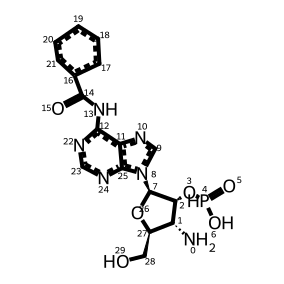 N[C@H]1[C@@H](O[PH](=O)O)[C@H](n2cnc3c(NC(=O)c4ccccc4)ncnc32)O[C@@H]1CO